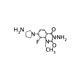 CCn1c(=O)n(N)c(=O)c2ccc(N3CC[C@H](N)C3)c(F)c21